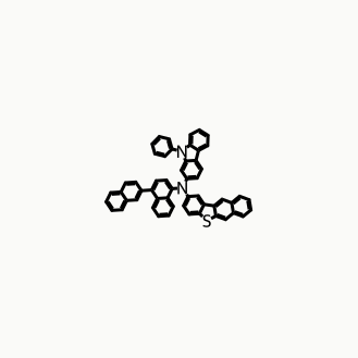 c1ccc(-n2c3ccccc3c3ccc(N(c4ccc5sc6cc7ccccc7cc6c5c4)c4ccc(-c5ccc6ccccc6c5)c5ccccc45)cc32)cc1